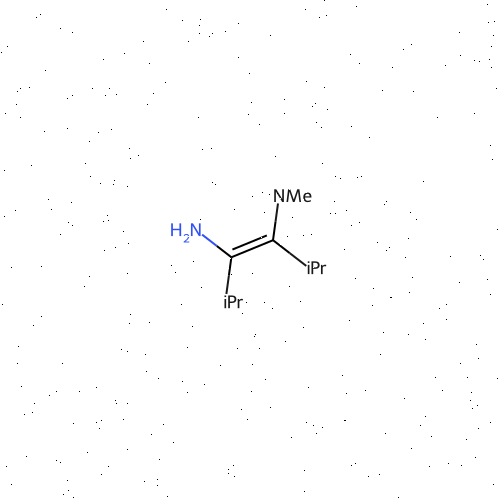 CN/C(=C(\N)C(C)C)C(C)C